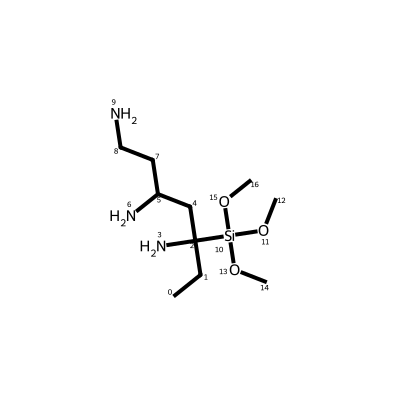 CCC(N)(CC(N)CCN)[Si](OC)(OC)OC